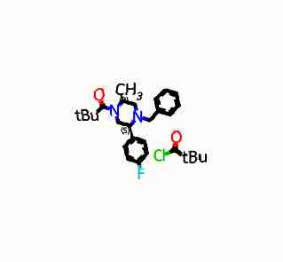 CC(C)(C)C(=O)Cl.C[C@@H]1CN(Cc2ccccc2)[C@@H](c2ccc(F)cc2)CN1C(=O)C(C)(C)C